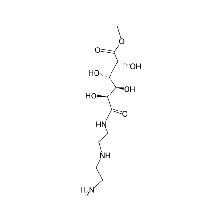 COC(=O)[C@H](O)[C@@H](O)[C@@H](O)[C@H](O)C(=O)NCCNCCN